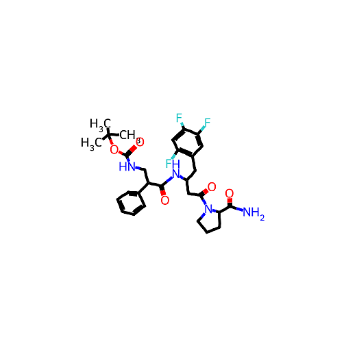 CC(C)(C)OC(=O)NCC(C(=O)NC(CC(=O)N1CCCC1C(N)=O)Cc1cc(F)c(F)cc1F)c1ccccc1